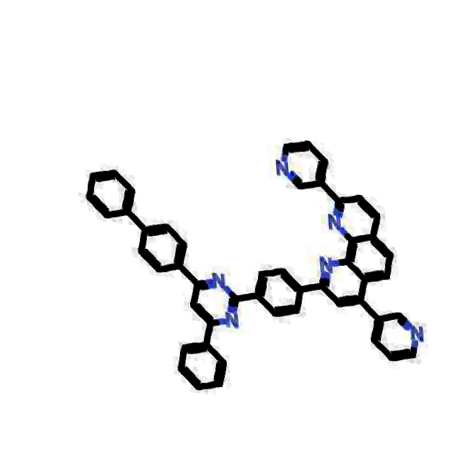 c1ccc(-c2ccc(-c3cc(-c4ccccc4)nc(-c4ccc(-c5cc(-c6cccnc6)c6ccc7ccc(-c8cccnc8)nc7c6n5)cc4)n3)cc2)cc1